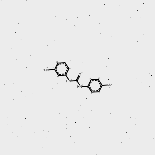 CC(=O)c1ccc(NC(=O)Nc2cccc(N)c2)cc1